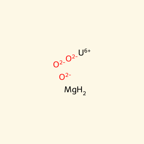 [MgH2].[O-2].[O-2].[O-2].[U+6]